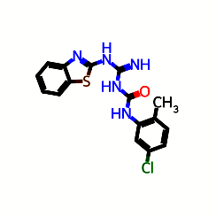 Cc1ccc(Cl)cc1NC(=O)NC(=N)Nc1nc2ccccc2s1